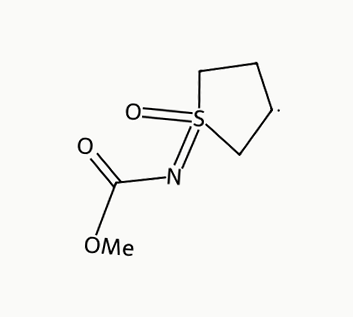 COC(=O)N=S1(=O)C[CH]CC1